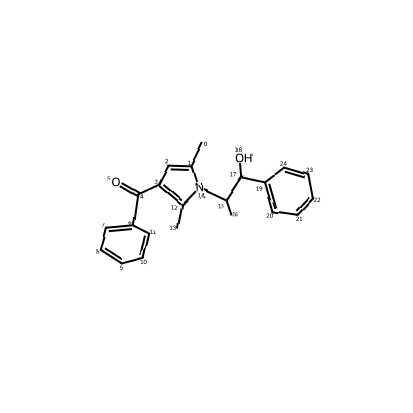 Cc1cc(C(=O)c2ccccc2)c(C)n1C(C)C(O)c1ccccc1